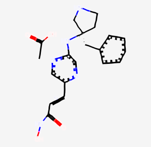 CC(=O)O.O=C(/C=C/c1cnc(N[C@]2(Cc3ccccc3)CCNC2)cn1)NO